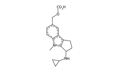 Cn1c2c(c3cc(COC(=O)O)ccc31)CCC2NC1CC1